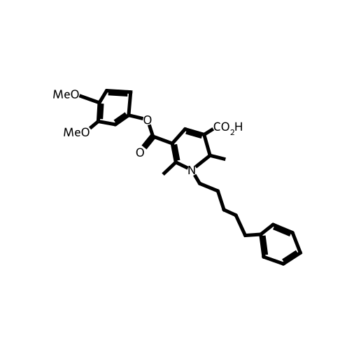 COc1ccc(OC(=O)C2=C(C)N(CCCCCc3ccccc3)C(C)C(C(=O)O)=C2)cc1OC